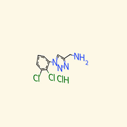 Cl.NCc1cn(-c2cccc(Cl)c2Cl)nn1